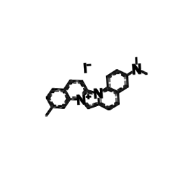 Cc1ccc2ccc3n4c(ccc5cc(N(C)C)ccc54)c[n+]3c2c1.[I-]